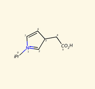 CC(C)[N+]1=CC(CC(=O)O)C=C1